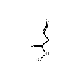 CCC=CCC(=O)NCCCC